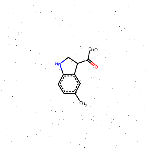 Cc1ccc2c(c1)C(C(=O)C=O)CN2